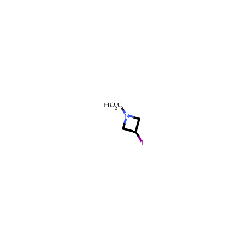 O=C(O)N1CC(I)C1